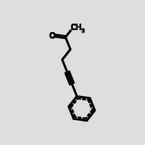 CC(=O)CCC#Cc1ccccc1